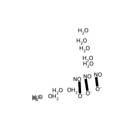 O.O.O.O.O.O.O.O.O.O=N[O-].O=N[O-].O=N[O-].[Al+3]